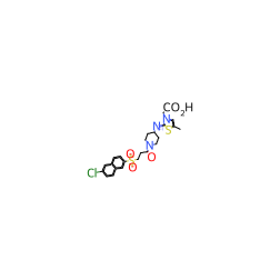 Cc1cn(CC(=O)O)/c(=N/C2CCN(C(=O)CCS(=O)(=O)c3ccc4cc(Cl)ccc4c3)CC2)s1